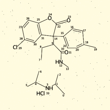 CC(C)NC(C)C.CCC(C(=O)NC)C1(c2ccc(C)cc2)C(=O)Oc2ccc(Cl)cc21.Cl